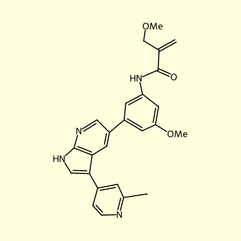 C=C(COC)C(=O)Nc1cc(OC)cc(-c2cnc3[nH]cc(-c4ccnc(C)c4)c3c2)c1